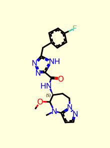 COC1[C@@H](NC(=O)c2nnc(Cc3ccc(F)cc3)[nH]2)CCn2nccc2N1C